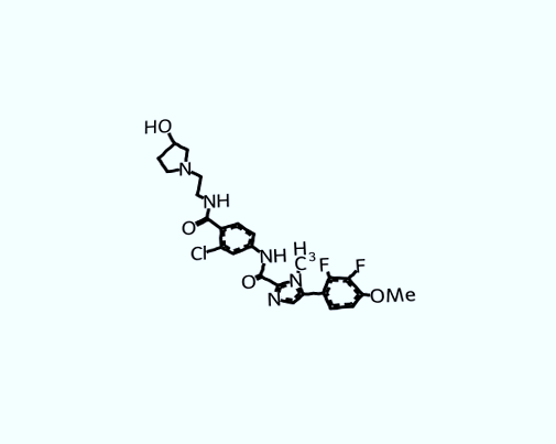 COc1ccc(-c2cnc(C(=O)Nc3ccc(C(=O)NCCN4CCC(O)C4)c(Cl)c3)n2C)c(F)c1F